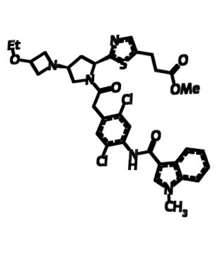 CCOC1CN([C@H]2C[C@@H](c3ncc(CCC(=O)OC)s3)N(C(=O)Cc3cc(Cl)c(NC(=O)c4cn(C)c5ccccc45)cc3Cl)C2)C1